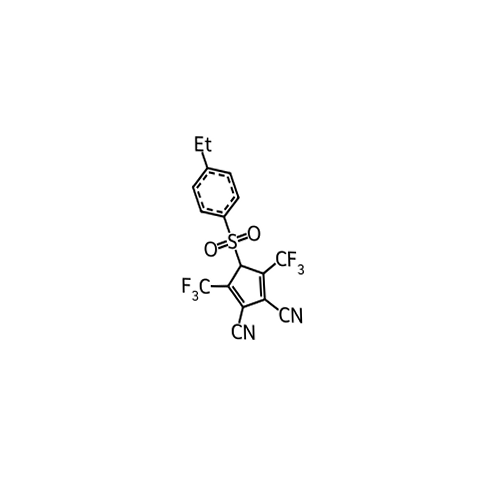 CCc1ccc(S(=O)(=O)C2C(C(F)(F)F)=C(C#N)C(C#N)=C2C(F)(F)F)cc1